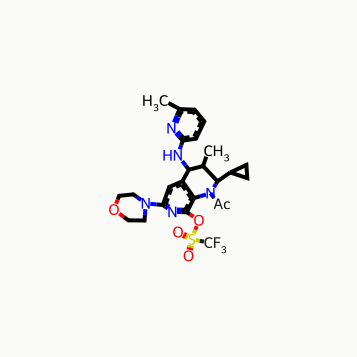 CC(=O)N1c2c(cc(N3CCOCC3)nc2OS(=O)(=O)C(F)(F)F)C(Nc2cccc(C)n2)C(C)C1C1CC1